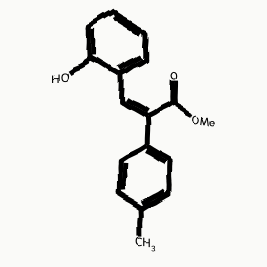 COC(=O)C(=Cc1ccccc1O)c1ccc(C)cc1